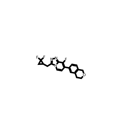 Fc1c(-c2ccc3c(c2)CCOC3)ccn2c(CC3CC3(F)F)nnc12